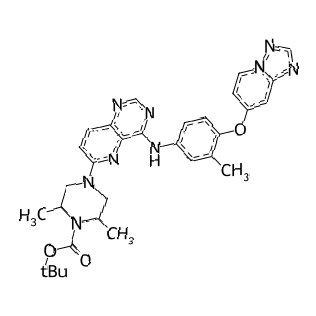 Cc1cc(Nc2ncnc3ccc(N4CC(C)N(C(=O)OC(C)(C)C)C(C)C4)nc23)ccc1Oc1ccn2ncnc2c1